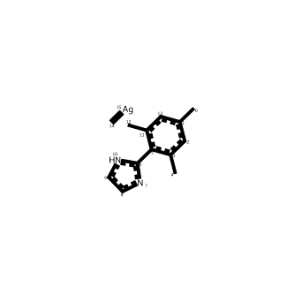 Cc1cc(C)c(-c2ncc[nH]2)c(C)c1.[CH2]=[Ag]